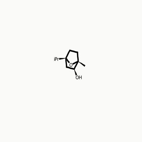 CC(C)[C@@]12CC[C@@](C)(O1)[C@@H](O)C2